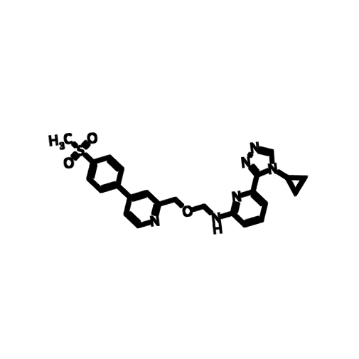 CS(=O)(=O)c1ccc(-c2ccnc(COCNc3cccc(-c4nncn4C4CC4)n3)c2)cc1